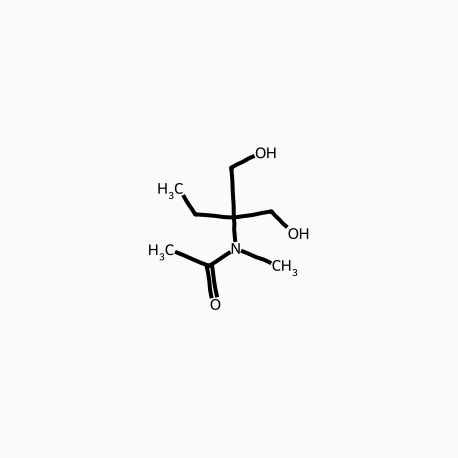 CCC(CO)(CO)N(C)C(C)=O